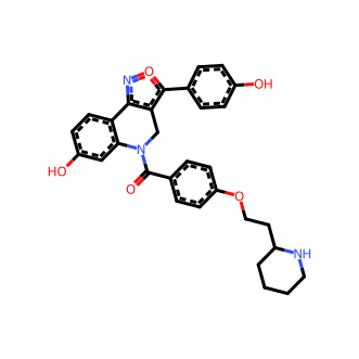 O=C(c1ccc(OCCC2CCCCN2)cc1)N1Cc2c(noc2-c2ccc(O)cc2)-c2ccc(O)cc21